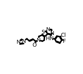 O=C(C=CCn1ccnc1)N1CCc2c(sc3ncnc(Nc4ccc(F)c(Cl)c4)c23)C1